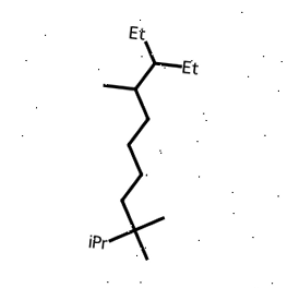 CCC(CC)C(C)CC[CH]CC(C)(C)C(C)C